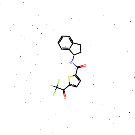 O=C(N[C@@H]1CCc2ccccc21)c1ccc(C(=O)C(F)(F)F)s1